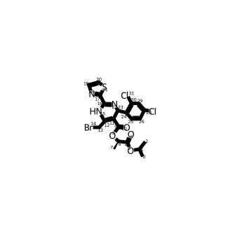 CC(C)OC(=O)[C@@H](C)OC(=O)C1=C(CBr)NC(c2nccs2)=NC1c1ccc(Cl)cc1Cl